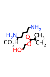 C=C(C)C(=O)OCCO.NCCCCC(N)C(=O)O